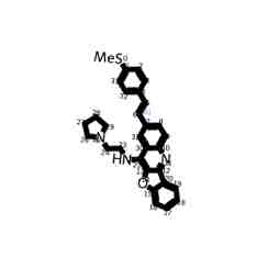 CSc1ccc(/C=C/c2ccc3nc4c(oc5ccccc54)c(NCCN4CCCC4)c3c2)cc1